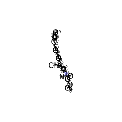 C=CC(=O)OCCOC(=O)/C(C#N)=C/c1ccc(N(CCCl)CCCOCCCOCCCOc2ccc(OC)cc2)cc1